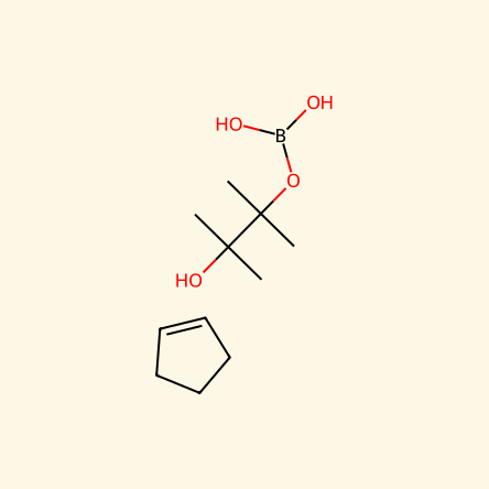 C1=CCCC1.CC(C)(O)C(C)(C)OB(O)O